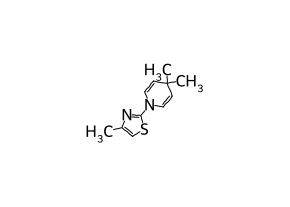 Cc1csc(N2C=CC(C)(C)C=C2)n1